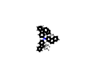 CC1CC2CC(C)C3(c4ccccc4-c4ccc(N(c5ccc6c(c5)C(C)(C)c5ccccc5-6)c5ccc6c(ccc7ccccc76)c5)cc43)C(C1)C2